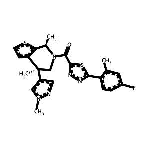 Cc1cc(F)ccc1-c1nnc(C(=O)N2C[C@@](C)(c3cnn(C)c3)c3ccsc3[C@H]2C)s1